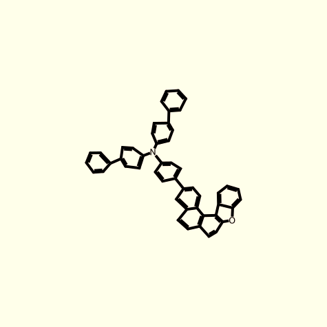 c1ccc(-c2ccc(N(c3ccc(-c4ccccc4)cc3)c3ccc(-c4ccc5c(ccc6ccc7oc8ccccc8c7c65)c4)cc3)cc2)cc1